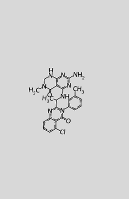 Cc1cccc(-n2c(C(C)Nc3nc(N)nc4c3C(=O)N(C)CN4)nc3cccc(Cl)c3c2=O)c1